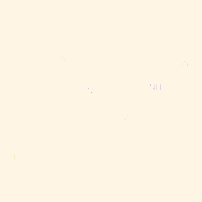 Cc1c(F)ccc2c1CN(C1CCCC(=O)NC1=O)C2=O